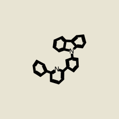 c1ccc(-c2cccc(-c3cccc(-n4c5ccccc5c5ccccc54)c3)n2)cc1